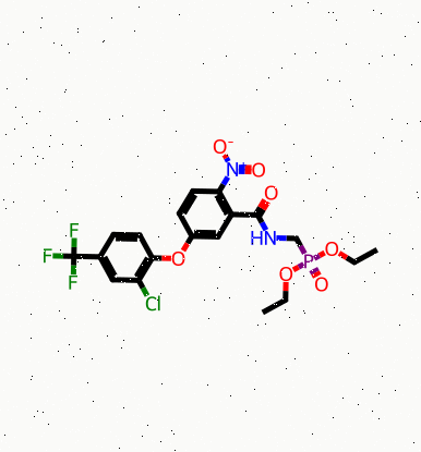 CCOP(=O)(CNC(=O)c1cc(Oc2ccc(C(F)(F)F)cc2Cl)ccc1[N+](=O)[O-])OCC